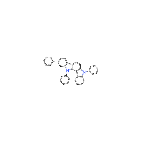 c1ccc(-c2ccc3c4ccc5c(c6ccccc6n5-c5ccccc5)c4n(-c4ccccc4)c3c2)cc1